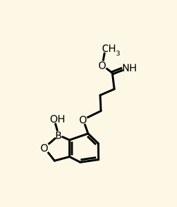 COC(=N)CCCOc1cccc2c1B(O)OC2